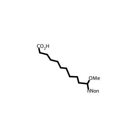 CCCCCCCCCC(CCCCCCCCCC(=O)O)OC